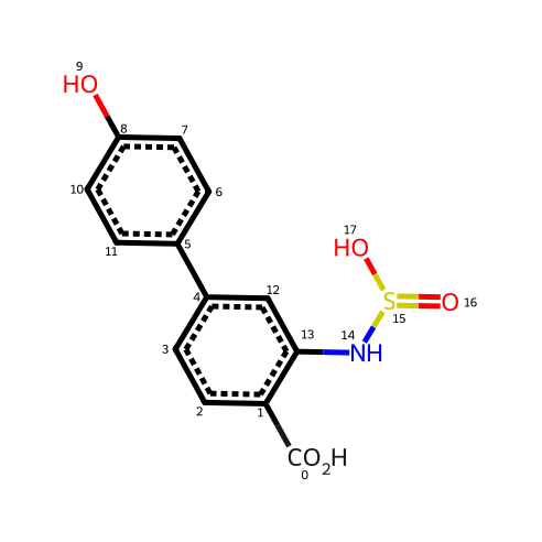 O=C(O)c1ccc(-c2ccc(O)cc2)cc1NS(=O)O